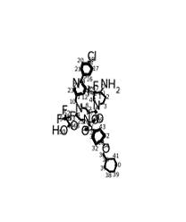 N[C@H]1CCN(C(=O)[C@@H]2CN(Cc3ccc(-c4ccc(Cl)cc4)nc3)CCN2S(=O)(=O)c2ccc(OCC3CCCCC3)cc2)CC1(F)F.O=C(O)C(F)(F)F